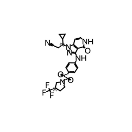 N#CC[C@@H](C1CC1)n1nc(Nc2ccc(S(=O)(=O)N3CC[C@@H](C(F)(F)F)C3)cc2)c2c(=O)[nH]ccc21